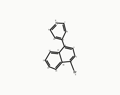 Brc1ccc(-c2ccncc2)c2ccccc12